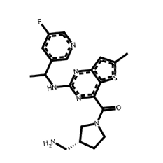 Cc1cc2nc(NC(C)c3cncc(F)c3)nc(C(=O)N3CC[C@H](CN)C3)c2s1